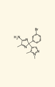 CC1=NC(c2cccc(Br)c2)(c2cnn(C)c2C)N=C1N